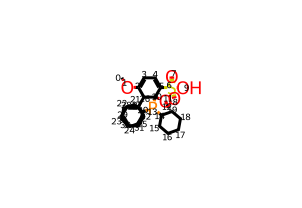 COC1=CC=C(S(=O)(=O)O)C(OC)(P(C2CCCCC2)C2CCCCC2)C1c1ccccc1